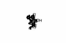 Cc1cccc(C#N)c1-c1cc(Cl)nc([C@H](CC(=O)O)NC(=O)C(CC(C)C)n2cc(CCN(C)C)c(C(F)(F)F)cc2=O)c1